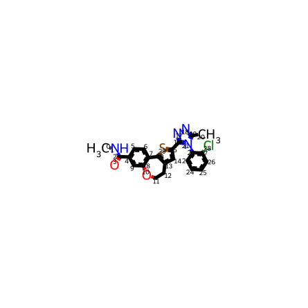 CNC(=O)c1ccc2c(c1)OCCc1cc(-c3nnc(C)n3-c3ccccc3Cl)sc1-2